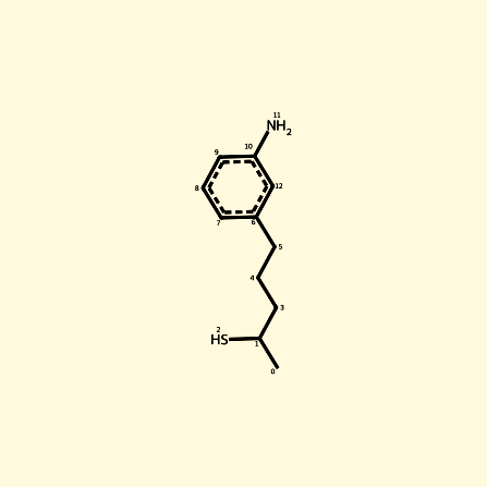 CC(S)CCCc1cccc(N)c1